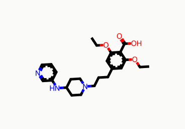 CCOc1cc(CCCN2CCC(Nc3cccnc3)CC2)cc(OCC)c1C(=O)O